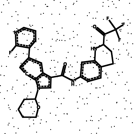 O=C(Nc1ccc2c(c1)NC(C(=O)C(F)(F)F)CC2)c1cn(C2CCCCO2)c2ccc(-c3cccnc3F)cc12